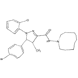 CC1C(C(=O)NN2CCCCCCC2)=NN(c2ccccc2Cl)C1c1ccc(Br)cc1